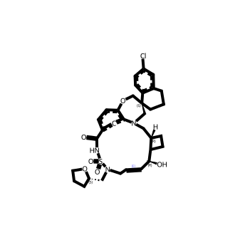 O=C1NS(=O)(=O)N(C[C@@H]2CCCO2)C/C=C/[C@H](O)C2CC[C@H]2CN2C[C@@]3(CCCc4cc(Cl)ccc43)COc3ccc1cc32